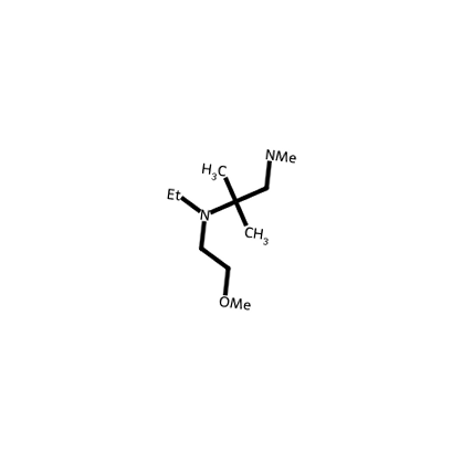 CCN(CCOC)C(C)(C)CNC